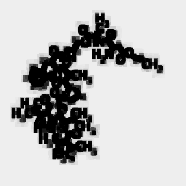 C=CCOC(=O)CC(N)C(=O)NC(C)C(=O)OCCCNC(=O)[C@H](Cc1ccccc1)NC(=O)[C@H](C)[C@@H](OC)[C@@H]1CCCN1C(=O)C[C@@H](OC)[C@H]([C@@H](C)CC)N(C)C(=O)C(NC(=O)C(C(C)C)N(C)C)C(C)C